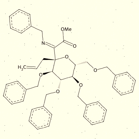 C=CC[C@@]1(/C(=N/Cc2ccccc2)C(=O)OC)O[C@H](COCc2ccccc2)[C@@H](OCc2ccccc2)[C@H](OCc2ccccc2)[C@H]1OCc1ccccc1